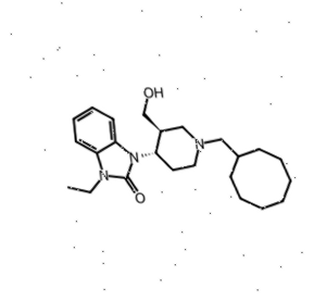 CCn1c(=O)n([C@H]2CCN(CC3CCCCCCC3)C[C@@H]2CO)c2ccccc21